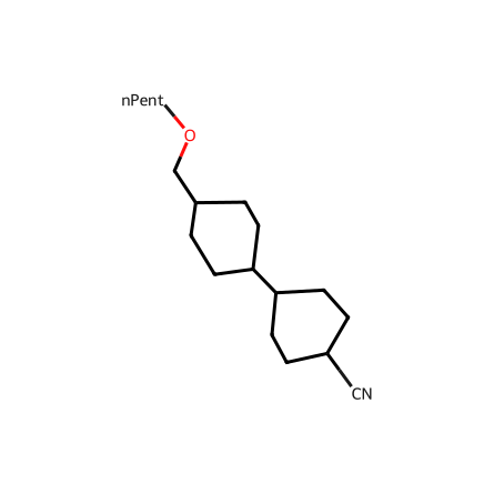 CCCCCOCC1CCC(C2CCC(C#N)CC2)CC1